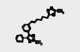 Cc1nnc(CCCC/C=C/c2cccc(-c3nn(C)nc3-c3ccccc3)c2)o1